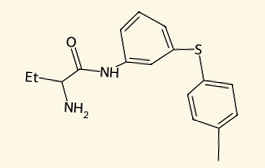 CCC(N)C(=O)Nc1cccc(Sc2ccc(C)cc2)c1